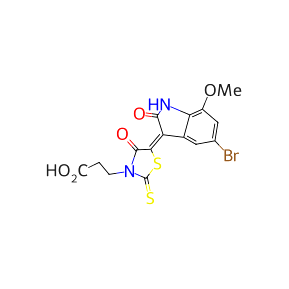 COc1cc(Br)cc2c1NC(=O)C2=C1SC(=S)N(CCC(=O)O)C1=O